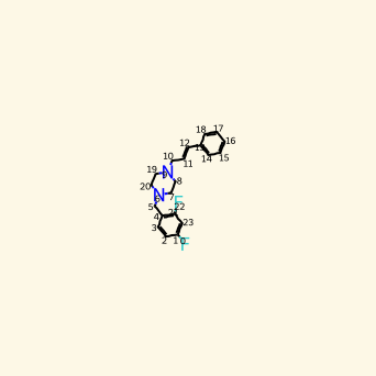 Fc1ccc(CN2CCN(CC=Cc3ccccc3)CC2)c(F)c1